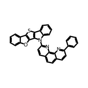 c1ccc(-c2ccc3ccc4ccc(-n5c6ccccc6c6sc7c8ccccc8oc7c65)nc4c3n2)cc1